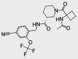 CC(=O)NC1(C(=O)N2CCC[C@@H](C(=O)NCc3ccc(C#N)cc3OC(F)(F)F)C2)CCC1